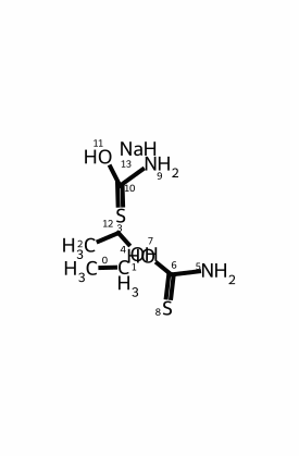 CC.CCO.NC(O)=S.NC(O)=S.[NaH]